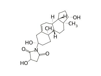 C[C@]12CC[C@H]3[C@@H](CC=C4C[C@](O)(N5C(=O)CC(O)C5=O)CC[C@@]43C)[C@@H]1CC[C@@H]2O